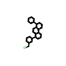 ClCc1cccc(-c2cccc3c2ccc2c(-c4ccccc4)cccc23)c1